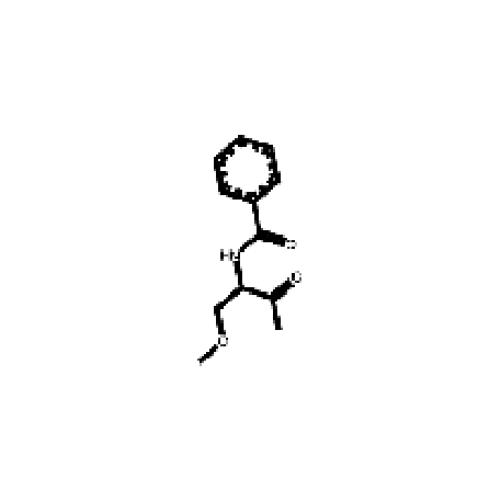 COCC(NC(=O)c1ccccc1)C(C)=O